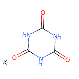 O=c1[nH]c(=O)[nH]c(=O)[nH]1.[K]